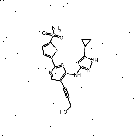 NS(=O)(=O)c1ccc(-c2ncc(C#CCO)c(Nc3cc(C4CC4)[nH]n3)n2)s1